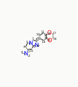 CN(C)c1ccn2cc(-c3ccc4c(c3)OCCO4)nc2c1